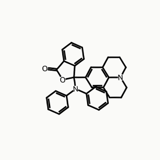 O=C1OC(c2cc3c4c(c2)CCCN4CCC3)(N(c2ccccc2)c2ccccc2)c2ccccc21